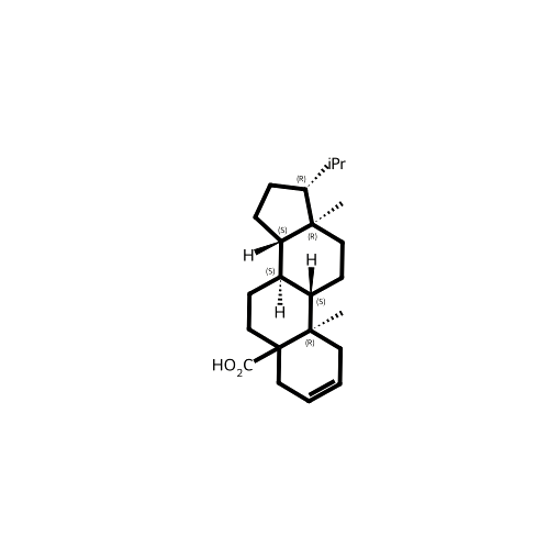 CC(C)[C@H]1CC[C@H]2[C@@H]3CCC4(C(=O)O)CC=CC[C@]4(C)[C@H]3CC[C@]12C